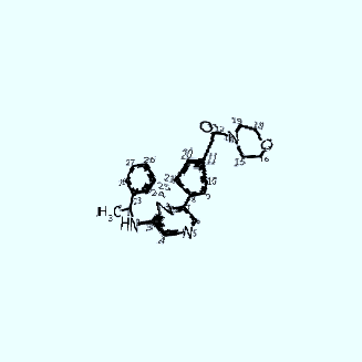 CC(Nc1cncc(-c2ccc(C(=O)N3CCOCC3)cc2)n1)c1ccccc1